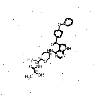 C[C@H](NC(=O)[C@@H](C)O)[C@@H]1CC[C@@H](Nc2ncnc3[nH]cc(C(=O)c4ccc(Oc5ccccc5)cc4)c23)CO1